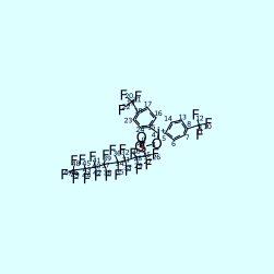 O=S(=O)(O[I+](c1ccc(C(F)(F)F)cc1)c1ccc(C(F)(F)F)cc1)C(F)(F)C(F)(F)C(F)(F)C(F)(F)C(F)(F)C(F)(F)C(F)(F)C(F)(F)F